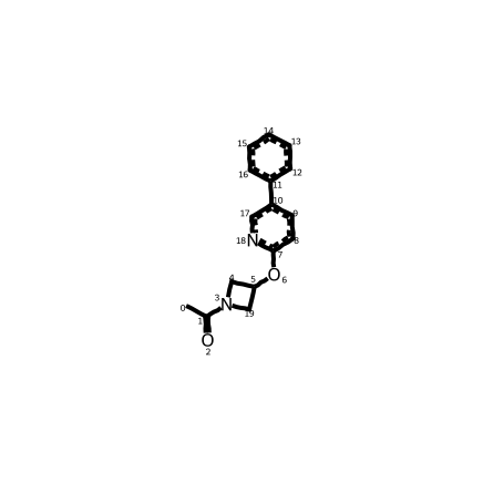 CC(=O)N1CC(Oc2ccc(-c3ccccc3)cn2)C1